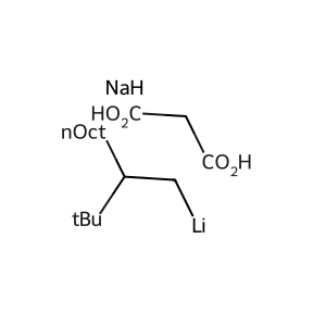 O=C(O)CC(=O)O.[Li][CH2]C(CCCCCCCC)C(C)(C)C.[NaH]